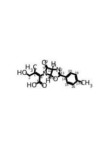 C/C(CO)=C(/C(=O)O)N1C(=O)[C@@H]2N=C(c3ccc(C)cc3)O[C@@H]21